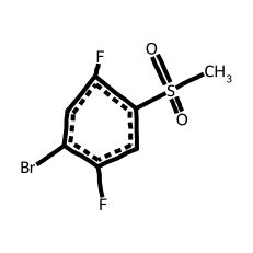 CS(=O)(=O)c1cc(F)c(Br)cc1F